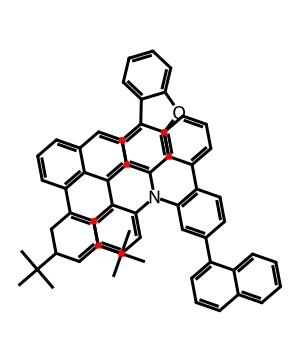 CC(C)(C)C1=CC(C(C)(C)C)CC(c2cccc3cccc(-c4ccccc4N(c4ccc5c(c4)oc4ccccc45)c4cc(-c5cccc6ccccc56)ccc4-c4ccccc4)c23)=C1